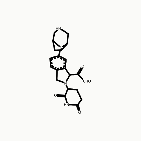 O=CC(=O)C1c2cc(N3C4CCC3CNC4)ccc2CN1C1CCC(=O)NC1=O